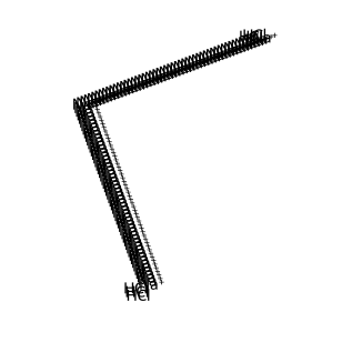 Cl.Cl.Cl.Cl.Cl.[Na+].[Na+].[Na+].[Na+].[Na+].[Na+].[Na+].[Na+].[Na+].[Na+].[Na+].[Na+].[Na+].[Na+].[Na+].[Na+].[Na+].[Na+].[Na+].[Na+].[Na+].[Na+].[Na+].[Na+].[Na+].[Na+].[Na+].[Na+].[Na+].[Na+].[Na+].[Na+].[Na+].[Na+].[Na+].[Na+].[Na+].[Na+].[Na+].[Na+].[Na+].[Na+].[Na+].[Na+].[Na+].[Na+].[Na+].[Na+].[Na+].[Na+].[Na+].[Na+].[Na+].[Na+].[Na+].[Na+].[Na+].[Na+].[Na+].[Na+].[Na+].[Na+].[Na+].[Na+].[Na+].[Na+].[Na+].[Na+].[Na+].[Na+].[Na+].[Na+].[Na+].[Na+].[Na+].[Na+].[Na+].[Na+].[Na+].[Na+].[Na+].[Na+].[Na+].[Na+].[Na+].[Na+].[Na+].[Na+].[Na+].[Na+].[Na+].[Na+].[Na+].[Na+].[Na+].[Na+].[Na+].[Na+].[Na+].[Na+].[Na+]